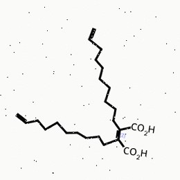 C=CCCCCCCCC/C(C(=O)O)=C(\CCCCCCCCC=C)C(=O)O